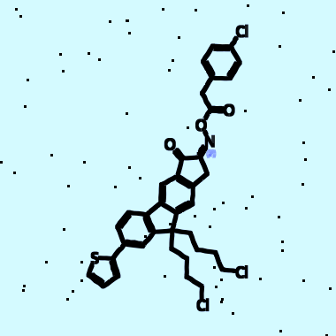 O=C(Cc1ccc(Cl)cc1)O/N=C1/Cc2cc3c(cc2C1=O)-c1ccc(-c2cccs2)cc1C3(CCCCCl)CCCCCl